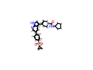 O=C(NC1CCCC1)N1CC=C(c2c[nH]c3ncc(-c4ccc(S(=O)(=O)C5CC5)cc4)cc23)CC1